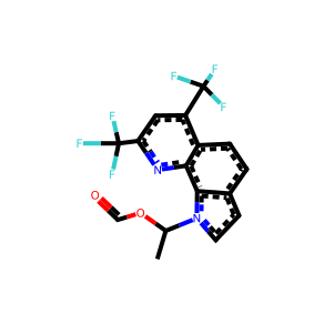 CC(OC=O)n1ccc2ccc3c(C(F)(F)F)cc(C(F)(F)F)nc3c21